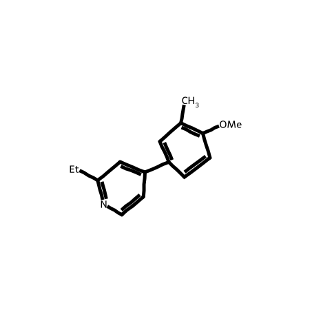 CCc1cc(-c2ccc(OC)c(C)c2)ccn1